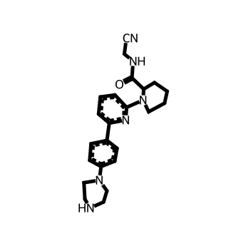 N#CCNC(=O)C1CCCCN1c1cccc(-c2ccc(N3CCNCC3)cc2)n1